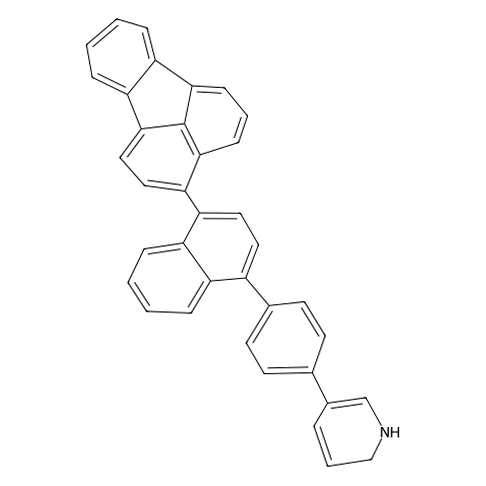 C1=CC(c2ccc(-c3ccc(-c4ccc5c6c(cccc46)-c4ccccc4-5)c4ccccc34)cc2)=CNC1